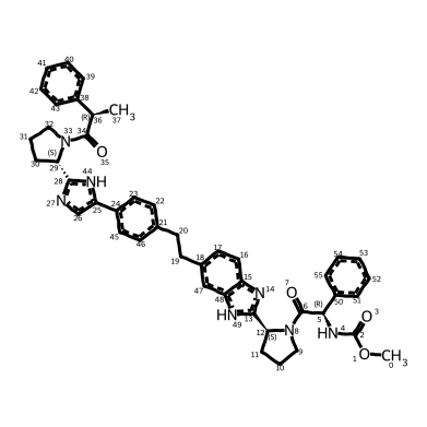 COC(=O)N[C@@H](C(=O)N1CCC[C@H]1c1nc2ccc(CCc3ccc(-c4cnc([C@@H]5CCCN5C(=O)[C@H](C)c5ccccc5)[nH]4)cc3)cc2[nH]1)c1ccccc1